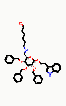 OCCCCCCNC[C@H]1O[C@@H](OCCc2c[nH]c3ccccc23)[C@H](OCc2ccccc2)[C@@H](OCc2ccccc2)[C@@H]1OCc1ccccc1